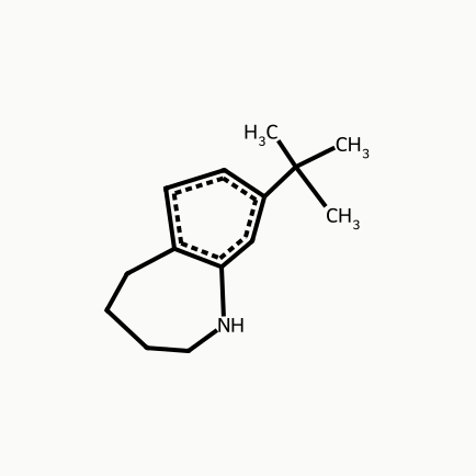 CC(C)(C)c1ccc2c(c1)NCCCC2